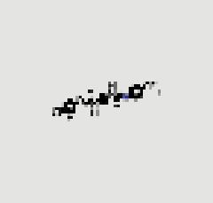 O=C(/C=C/c1ccc(C(F)(F)F)cc1)NC12CC(NC(=O)COc3ccc(Cl)c(F)c3)(C1)C2